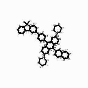 CC1(C)c2ccccc2-c2cc(-c3ccc(-c4c5ccc(N6CCCCC6)cc5c(-c5ccc6ccccc6c5)c5ccc(N6CCCCC6)cc45)cc3)ccc21